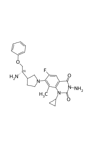 Cc1c(N2CCC([C@H](N)COc3ccccc3)C2)c(F)cc2c(=O)n(N)c(=O)n(C3CC3)c12